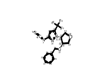 FC(F)(F)c1cc(N=C=S)nn1[C@@H]1COC[C@H]1OCc1ccccc1